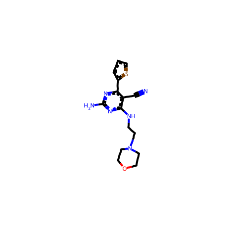 N#Cc1c(NCCN2CCOCC2)nc(N)nc1-c1cccs1